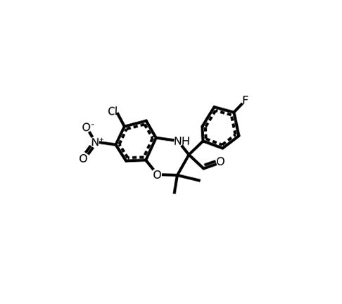 CC1(C)Oc2cc([N+](=O)[O-])c(Cl)cc2NC1(C=O)c1ccc(F)cc1